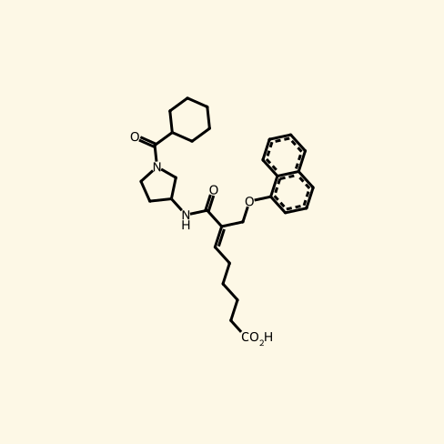 O=C(O)CCCC/C=C(\COc1cccc2ccccc12)C(=O)NC1CCN(C(=O)C2CCCCC2)C1